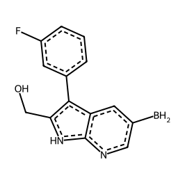 Bc1cnc2[nH]c(CO)c(-c3cccc(F)c3)c2c1